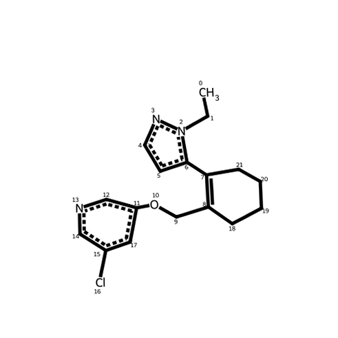 CCn1nccc1C1=C(COc2cncc(Cl)c2)CCCC1